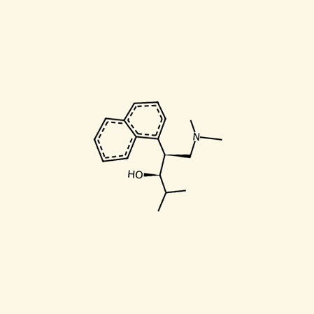 CC(C)[C@@H](O)[C@H](CN(C)C)c1cccc2ccccc12